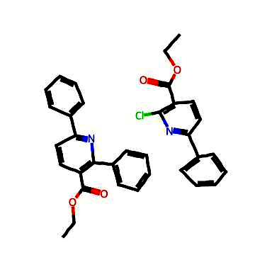 CCOC(=O)c1ccc(-c2ccccc2)nc1-c1ccccc1.CCOC(=O)c1ccc(-c2ccccc2)nc1Cl